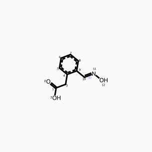 O=C(O)Cc1ccccc1/C=N/O